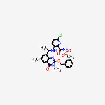 Cc1cc([C@@H](C)Nc2ccc(Cl)nc2C(=O)NS(C)(=O)=O)c2nc(OCc3ccccc3)n(C)c(=O)c2c1